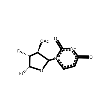 CC[C@H]1OC(n2ccc(=O)[nH]c2=O)[C@H](OC(C)=O)[C@H]1F